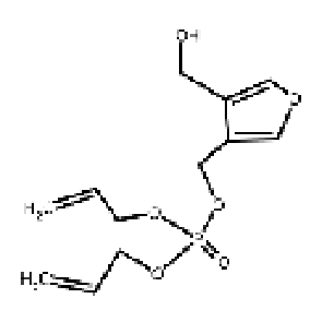 C=CCOP(=O)(OCC=C)OCc1cocc1CO